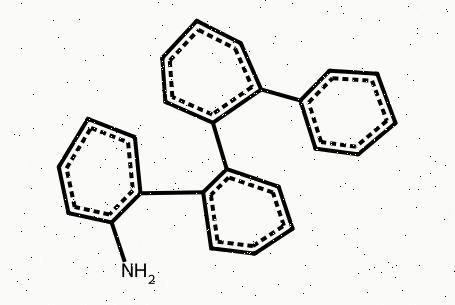 Nc1ccccc1-c1ccccc1-c1ccccc1-c1ccccc1